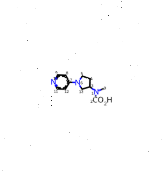 CN(C(=O)O)C1CCN(c2ccncc2)C1